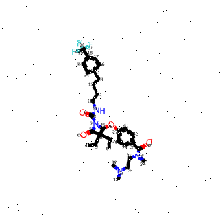 CCC1(CC)C(=O)N(C(=O)NCCCCc2ccc(C(F)(F)F)cc2)C1Oc1ccc(C(=O)N(C)CCN(C)C)cc1